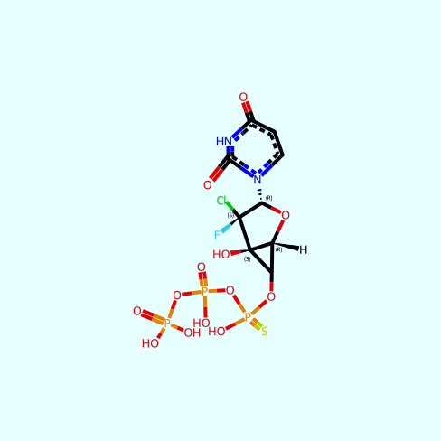 O=c1ccn([C@@H]2O[C@@H]3C(OP(O)(=S)OP(=O)(O)OP(=O)(O)O)[C@]3(O)[C@]2(F)Cl)c(=O)[nH]1